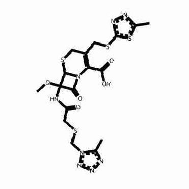 COC1(NC(=O)CSCn2nnnc2C)C(=O)N2C(C(=O)O)=C(CSc3nnc(C)s3)CSC21